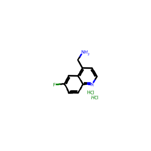 Cl.Cl.NCc1ccnc2ccc(F)cc12